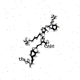 COC(=O)c1nc(N(CCCCCO[Si](C)(C)C(C)(C)C)c2cc(C)c(/N=c3\sc4ccccc4n3COCC[Si](C)(C)C)nn2)sc1CCCOc1ccc(C#CCN(C)C(=O)OC(C)(C)C)cc1F